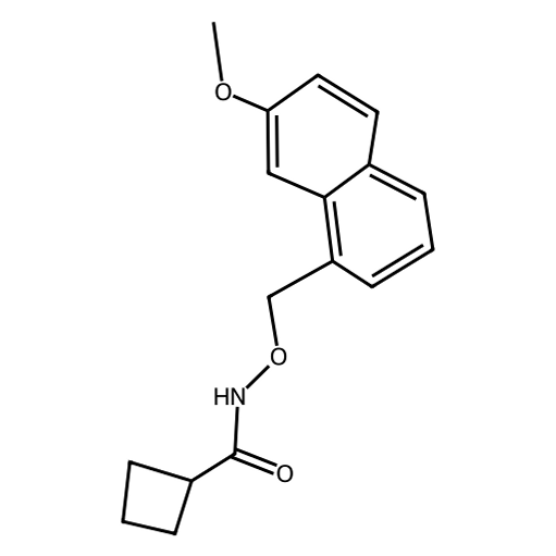 COc1ccc2cccc(CONC(=O)C3CCC3)c2c1